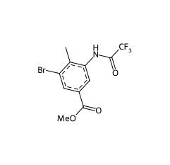 COC(=O)c1cc(Br)c(C)c(NC(=O)C(F)(F)F)c1